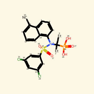 CCC(CC)(N(c1cccc2c(C#N)cccc12)S(=O)(=O)c1cc(Cl)cc(Cl)c1)P(=O)(O)O